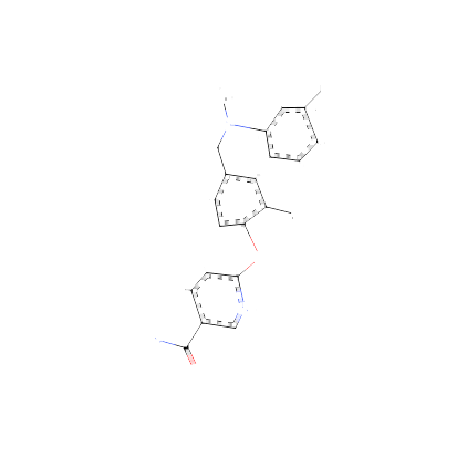 CCCCN(Cc1ccc(Oc2ccc(C(N)=O)cn2)c(C)c1)c1cccc(C)c1